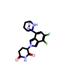 O=C1CCC(n2cc3c(N4CC5CCC4CN5)cc(F)c(F)c3c2)C(=O)N1